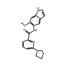 COc1cc2[nH]ncc2cc1NC(=O)c1cccc(N2CCCC2)n1